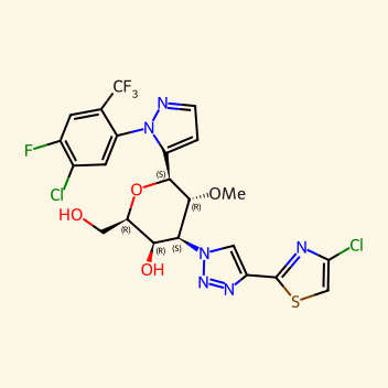 CO[C@@H]1[C@@H](n2cc(-c3nc(Cl)cs3)nn2)[C@@H](O)[C@@H](CO)O[C@H]1c1ccnn1-c1cc(Cl)c(F)cc1C(F)(F)F